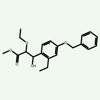 CCOC(C(=O)OC)C(O)c1ccc(OCc2ccccc2)cc1CC